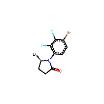 CC[C@@H]1CCC(=O)N1c1ccc(Br)c(F)c1F